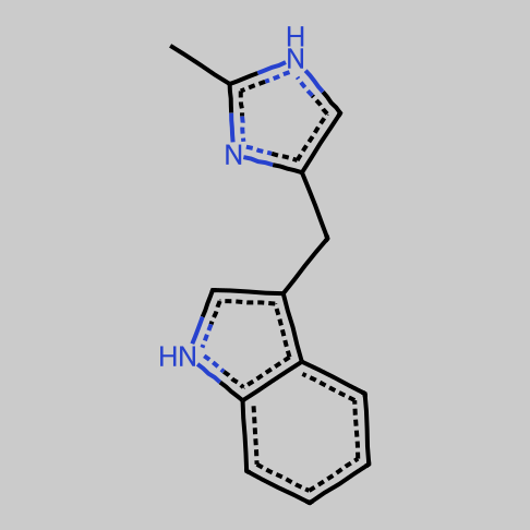 Cc1nc(Cc2c[nH]c3ccccc23)c[nH]1